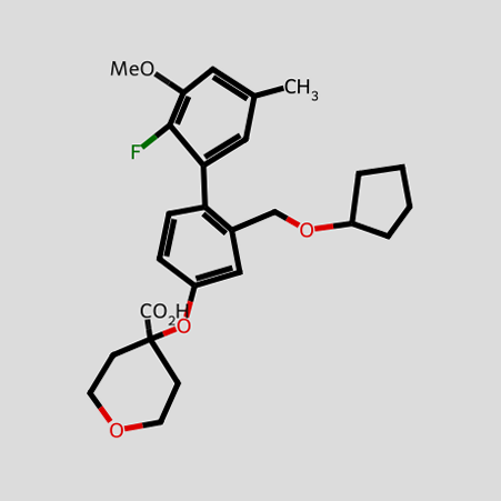 COc1cc(C)cc(-c2ccc(OC3(C(=O)O)CCOCC3)cc2COC2CCCC2)c1F